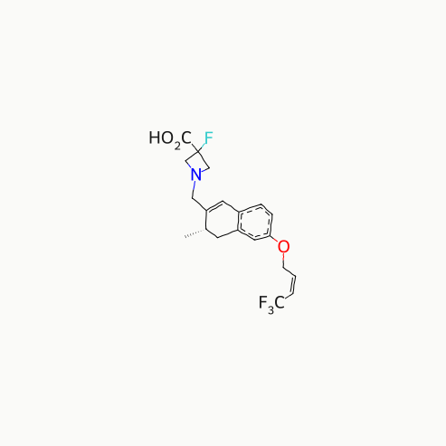 C[C@H]1Cc2cc(OC/C=C\C(F)(F)F)ccc2C=C1CN1CC(F)(C(=O)O)C1